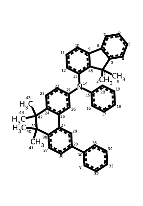 CC1(C)c2ccccc2-c2cccc(N(c3ccccc3)c3ccc4c(c3)-c3cc(-c5ccccc5)ccc3C(C)(C)C4(C)C)c21